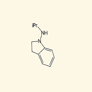 CC(C)NN1CCc2ccccc21